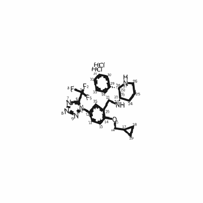 Cl.Cl.FC(F)(F)c1nnnn1-c1ccc(OCC2CC2)c(CN[C@H]2CCCN[C@H]2c2ccccc2)c1